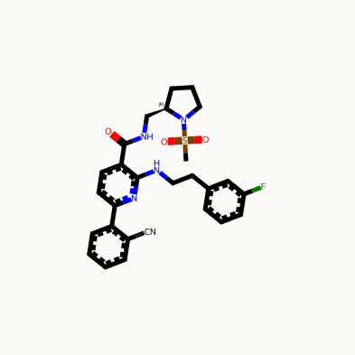 CS(=O)(=O)N1CCC[C@@H]1CNC(=O)c1ccc(-c2ccccc2C#N)nc1NCCc1cccc(F)c1